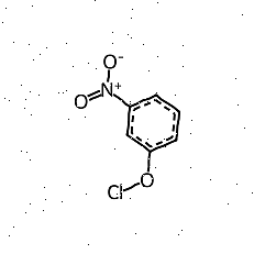 O=[N+]([O-])c1cccc(OCl)c1